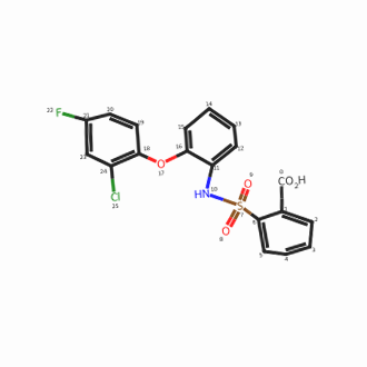 O=C(O)c1ccccc1S(=O)(=O)Nc1ccccc1Oc1ccc(F)cc1Cl